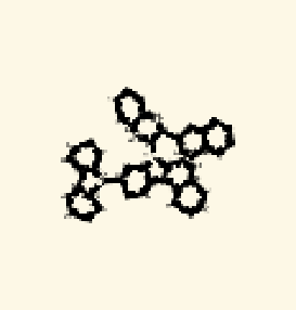 c1ccc2cc(-c3nc4ccccc4nc3-n3c4cc(-n5c6ccccc6c6ccccc65)ccc4c4c5ccccc5ccc43)ccc2c1